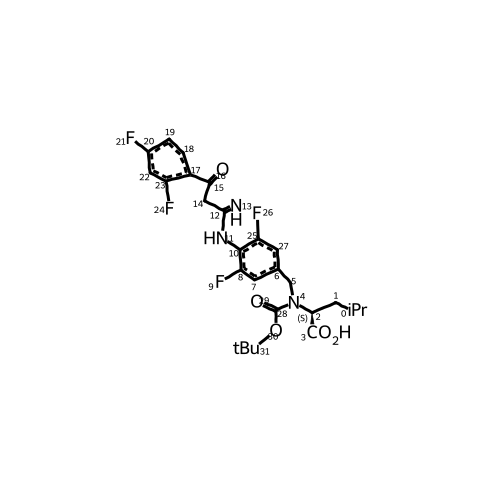 CC(C)C[C@@H](C(=O)O)N(Cc1cc(F)c(NC(=N)CC(=O)c2ccc(F)cc2F)c(F)c1)C(=O)OC(C)(C)C